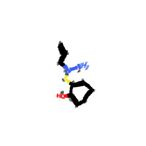 C=CCN(N)Sc1ccccc1O